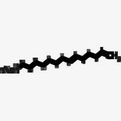 C=CCCCC=CCCCCCCCCCCCCCCCC